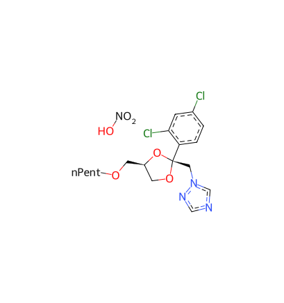 CCCCCOC[C@@H]1CO[C@@](Cn2cncn2)(c2ccc(Cl)cc2Cl)O1.O=[N+]([O-])O